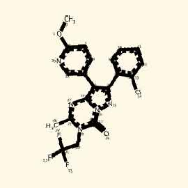 COc1ccc(-c2c(-c3ccccc3Cl)nn3c(=O)n(CC(F)(F)F)c(C)nc23)cn1